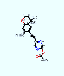 CCCCCCc1cc2c(cc1C#Cc1cnc(OC(=O)CCC)cn1)C(CC)(CC)CCO2